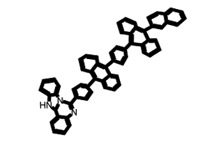 c1ccc2c(c1)N=C(c1ccc(-c3c4ccccc4c(-c4ccc(-c5c6ccccc6c(-c6ccc7ccccc7c6)c6ccccc56)cc4)c4ccccc34)cc1)N1c3ccccc3NC21